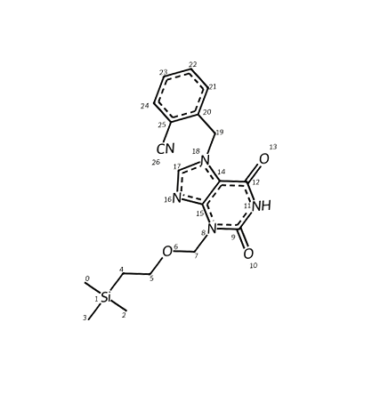 C[Si](C)(C)CCOCn1c(=O)[nH]c(=O)c2c1ncn2Cc1ccccc1C#N